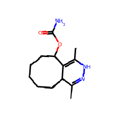 CC1=NNC(C)=C2C(OC(N)=O)CCCCCC12